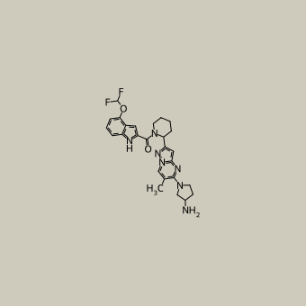 Cc1cn2nc(C3CCCCN3C(=O)c3cc4c(OC(F)F)cccc4[nH]3)cc2nc1N1CCC(N)C1